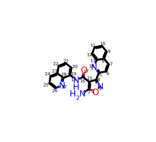 Nc1onc(-c2ccc3ccccc3n2)c1C(=O)Nc1cccc2cccnc12